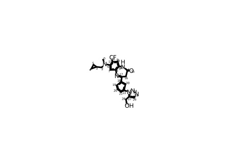 CN(CC1CC1)c1cc2c(cc1C(F)(F)F)NC(=O)CC(c1cccc(-n3nncc3CO)c1)=N2